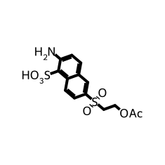 CC(=O)OCCS(=O)(=O)c1ccc2c(S(=O)(=O)O)c(N)ccc2c1